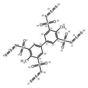 Cc1c(S(=O)(=O)N=[N+]=[N-])cc(-c2cc(S(=O)(=O)N=[N+]=[N-])c(C)c(S(=O)(=O)N=[N+]=[N-])c2)cc1S(=O)(=O)N=[N+]=[N-]